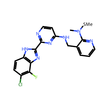 CSN(C)c1ncccc1CNc1ccnc(-c2nc3c(F)c(Cl)ccc3[nH]2)n1